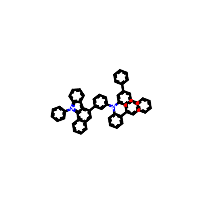 c1ccc(-c2cc(-c3ccccc3)cc(N(c3cccc(-c4cc5ccccc5c5c4c4ccccc4n5-c4ccccc4)c3)c3ccccc3-c3ccccc3)c2)cc1